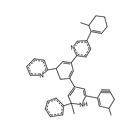 CC1C=C(C2=CC(C3=CC(c4ccc(C5=CCCCC5C)cn4)=CC(c4ccccn4)C3)=CC(C)(c3ccccc3)N2)C#CC1